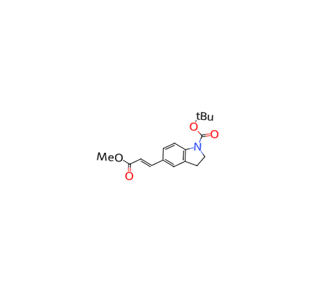 COC(=O)C=Cc1ccc2c(c1)CCN2C(=O)OC(C)(C)C